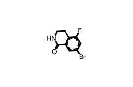 O=C1NCCc2c(F)cc(Br)cc21